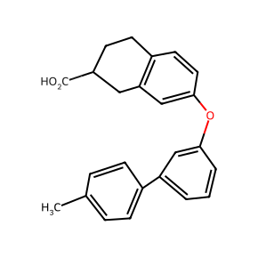 Cc1ccc(-c2cccc(Oc3ccc4c(c3)CC(C(=O)O)CC4)c2)cc1